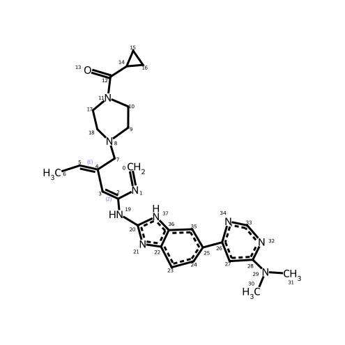 C=N/C(=C\C(=C/C)CN1CCN(C(=O)C2CC2)CC1)Nc1nc2ccc(-c3cc(N(C)C)ncn3)cc2[nH]1